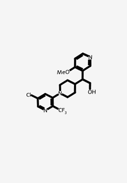 COc1ccncc1C(CO)C1CCN(c2cc(Cl)cnc2C(F)(F)F)CC1